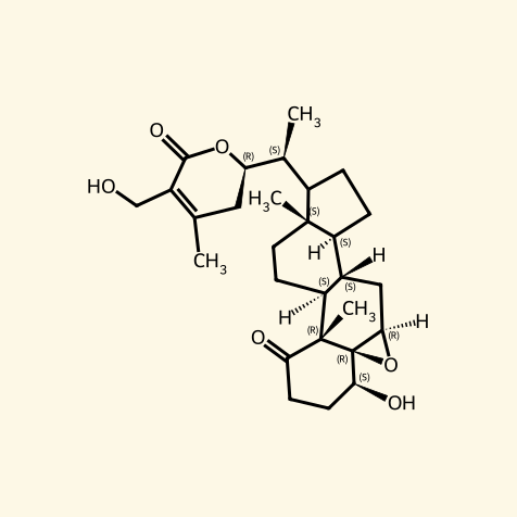 CC1=C(CO)C(=O)O[C@@H]([C@@H](C)C2CC[C@H]3[C@@H]4C[C@H]5O[C@]56[C@@H](O)CCC(=O)[C@]6(C)[C@H]4CC[C@]23C)C1